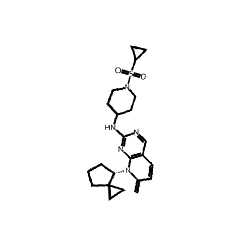 C=C1C=Cc2cnc(NC3CCN(S(=O)(=O)C4CC4)CC3)nc2N1[C@H]1CCCC12CC2